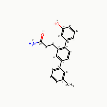 Cc1cccc(-c2ccc(-c3cccc(O)c3)c(CCC(N)=O)c2)c1